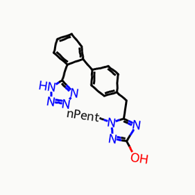 CCCCCn1nc(O)nc1Cc1ccc(-c2ccccc2-c2nnn[nH]2)cc1